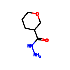 NNC(=O)C1CCCOC1